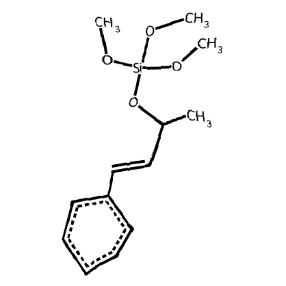 CO[Si](OC)(OC)OC(C)C=Cc1ccccc1